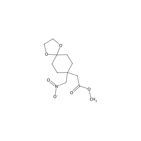 COC(=O)CC1(C[N+](=O)[O-])CCC2(CC1)OCCO2